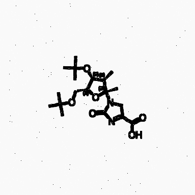 C[C@@H]1[C@H](OC(C)(C)C)[C@@H](COC(C)(C)C)O[C@@]1(C)N1CC(C(=O)O)=NC1=O